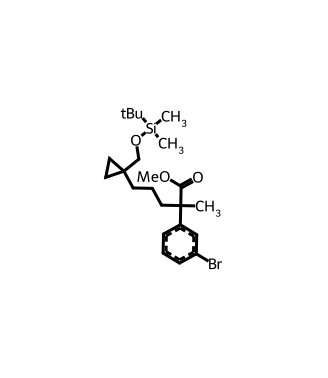 COC(=O)C(C)(CCCC1(CO[Si](C)(C)C(C)(C)C)CC1)c1cccc(Br)c1